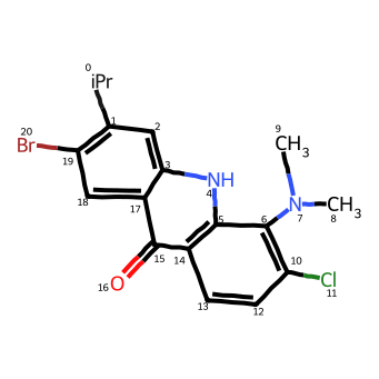 CC(C)c1cc2[nH]c3c(N(C)C)c(Cl)ccc3c(=O)c2cc1Br